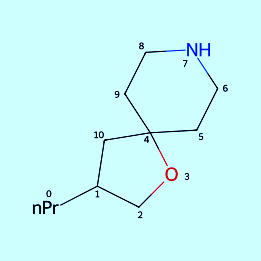 CCCC1COC2(CCNCC2)C1